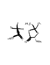 CN[C@H]1OC(C)(C)OC1=O.O=C(O)C(F)(F)F